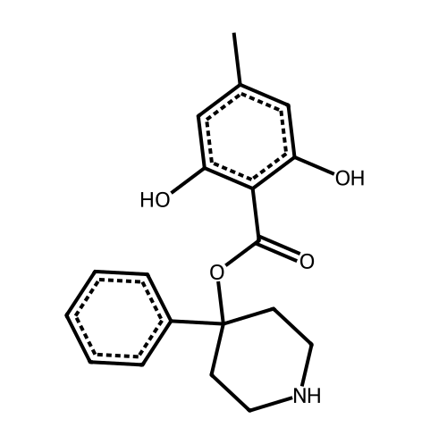 Cc1cc(O)c(C(=O)OC2(c3ccccc3)CCNCC2)c(O)c1